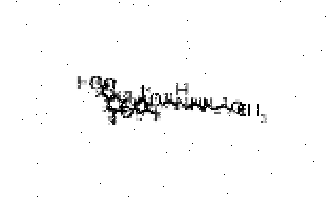 COCCCNCCCNCCCOc1c(I)cc(Oc2c(I)cc(CC(=O)O)cc2I)cc1I